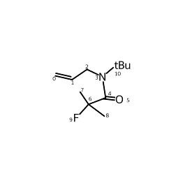 C=CCN(C(=O)C(C)(C)F)C(C)(C)C